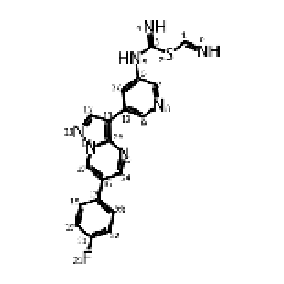 N=CSC(=N)Nc1cncc(-c2cnn3cc(-c4ccc(F)cc4)cnc23)c1